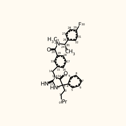 CC(C)CCC1(c2ccccc2)NC(=N)N(Cc2cccc(C(=O)N(C)[C@H](C)c3ccc(F)cc3)c2)C1=O